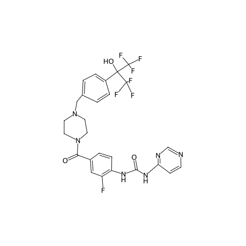 O=C(Nc1ccncn1)Nc1ccc(C(=O)N2CCN(Cc3ccc(C(O)(C(F)(F)F)C(F)(F)F)cc3)CC2)cc1F